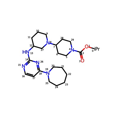 CC(C)OC(=O)N1CCC(N2CCCC(Nc3nccc(N4CCCCCC4)n3)C2)CC1